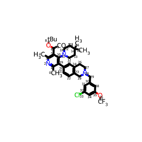 Cc1nc(C)c(C(OC(C)(C)C)C(=O)O)c(N2CCC(C)(C)CC2)c1-c1ccc2c(c1)CCN(Cc1cc(Cl)cc(OC(F)(F)F)c1)C2